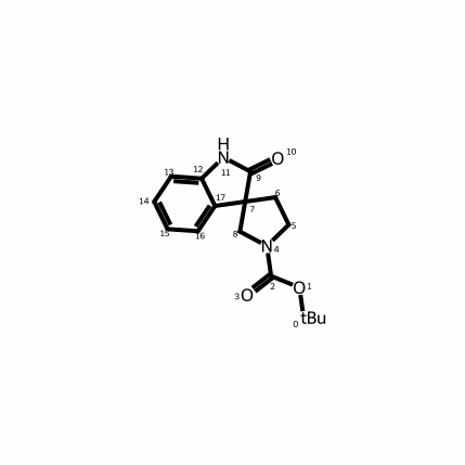 CC(C)(C)OC(=O)N1CCC2(C1)C(=O)Nc1ccccc12